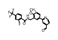 COc1ccc(-c2cc(C=O)ccn2)cc1CNC(=O)c1ccc(C(F)(F)F)cc1F